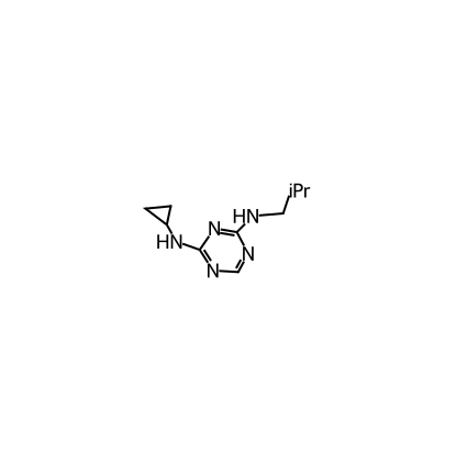 CC(C)CNc1ncnc(NC2CC2)n1